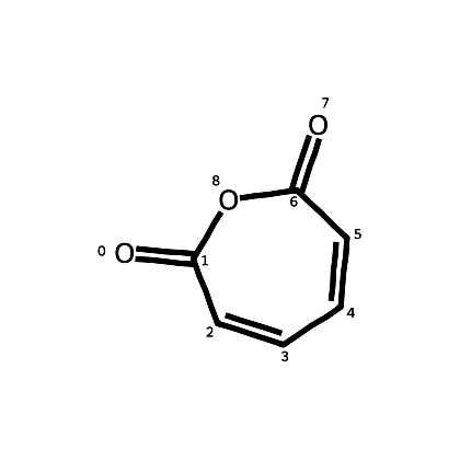 O=c1ccccc(=O)o1